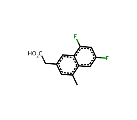 [CH2]c1cc(CC(=O)O)cc2c(F)cc(F)cc12